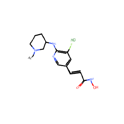 CC(=O)N1CCCC(Nc2ncc(/C=C/C(=O)NO)cc2F)C1.Cl